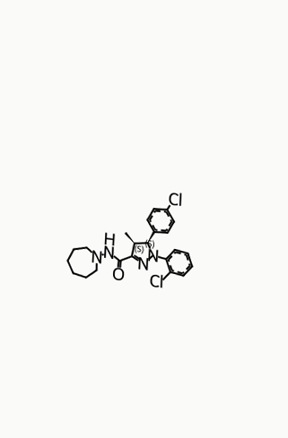 C[C@@H]1C(C(=O)NN2CCCCCC2)=NN(c2ccccc2Cl)[C@@H]1c1ccc(Cl)cc1